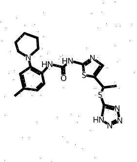 Cc1ccc(NC(=O)Nc2ncc(C(C)Sc3nnn[nH]3)s2)c(N2CCCCC2)c1